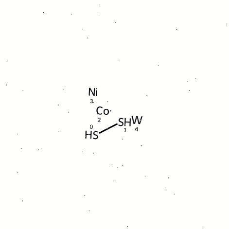 SS.[Co].[Ni].[W]